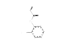 O=CC(=O)Nc1ccccc1O